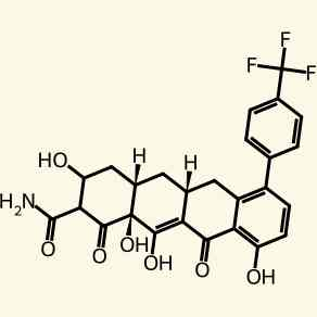 NC(=O)C1C(=O)[C@@]2(O)C(O)=C3C(=O)c4c(O)ccc(-c5ccc(C(F)(F)F)cc5)c4C[C@H]3C[C@H]2CC1O